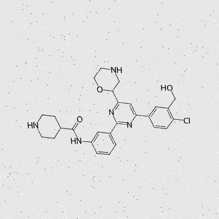 O=C(Nc1cccc(-c2nc(-c3ccc(Cl)c(CO)c3)cc(C3CNCCO3)n2)c1)C1CCNCC1